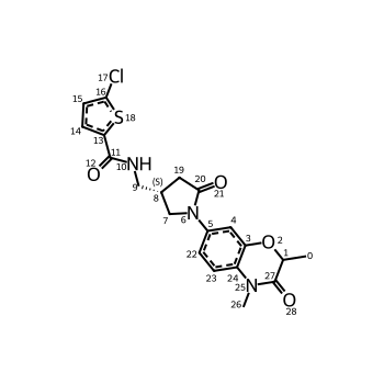 CC1Oc2cc(N3C[C@H](CNC(=O)c4ccc(Cl)s4)CC3=O)ccc2N(C)C1=O